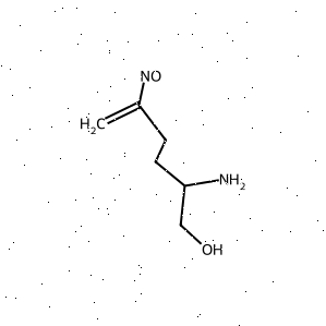 C=C(CCC(N)CO)N=O